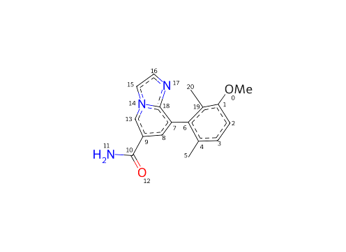 COc1ccc(C)c(-c2cc(C(N)=O)cn3ccnc23)c1C